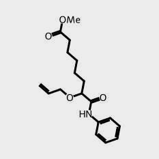 C=CCOC(CCCCCC(=O)OC)C(=O)Nc1ccccc1